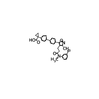 Cc1noc(-c2ccc(-c3ccc(C4(C(=O)O)CC4)cc3)cc2)c1CCC(=O)N(C)c1cccc(F)c1